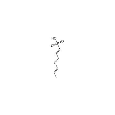 CC=COCC=CS(=O)(=O)O